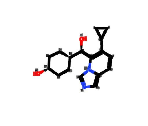 O[C@H](c1c(C2CC2)ccc2cncn12)[C@H]1CC[C@@H](O)CC1